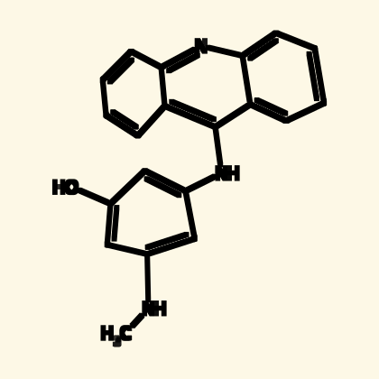 CNc1cc(O)cc(Nc2c3ccccc3nc3ccccc23)c1